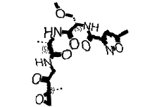 COC[C@H](NC(=O)c1cc(C)on1)C(=O)N[C@@H](C)C(=O)NCC(=O)[C@@]1(C)CO1